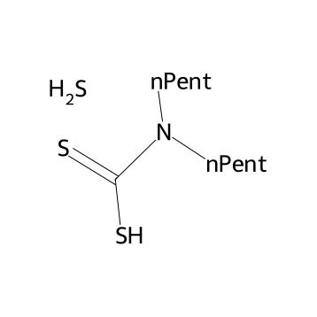 CCCCCN(CCCCC)C(=S)S.S